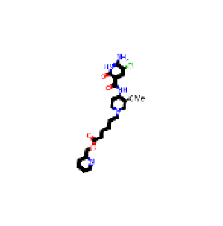 CO[C@H]1CN(CCCCCC(=O)OCc2ccccn2)CC[C@H]1NC(=O)c1cc(Cl)c(N)[nH]c1=O